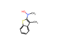 [CH2]N(O)c1sc2ccccc2c1C